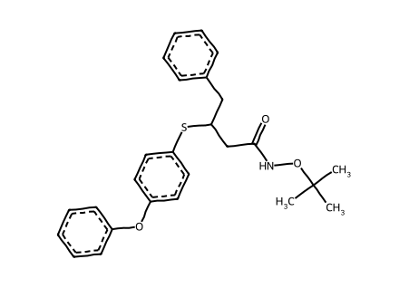 CC(C)(C)ONC(=O)CC(Cc1ccccc1)Sc1ccc(Oc2ccccc2)cc1